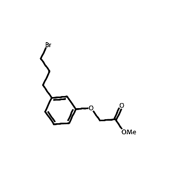 COC(=O)COc1cccc(CCCBr)c1